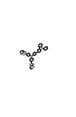 c1ccc(-n2c3ccccc3c3cc(-c4ccc(N(c5ccc(-c6nc7cccnc7o6)cc5)c5ccc(-c6nc7cccnc7o6)cc5)cc4)ccc32)cc1